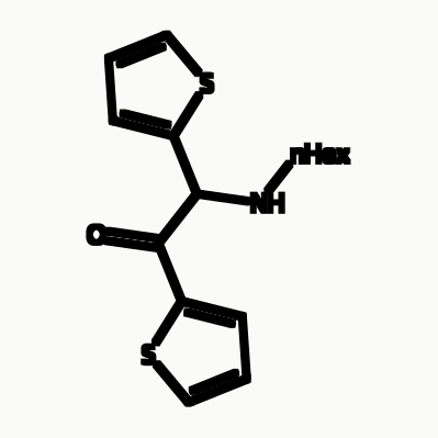 [CH2]CCCCCNC(C(=O)c1cccs1)c1cccs1